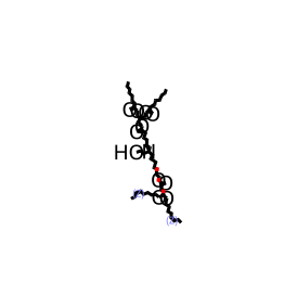 CC/C=C\CCCCOC(CCC(=O)OCCCCCCCN(CCO)CCCCCC(=O)OCC(COC(=O)CCCCCCC)COC(=O)CCCCCCC)OCCCC/C=C\CC